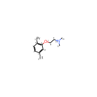 CCc1ccc(C(C)C)c(OCCN(C)C)c1